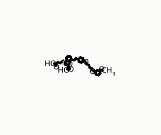 COc1cccc(OCCCCOc2ccc(C=Cc3cccc4c3OC(C(=O)O)CN4CCCC(=O)O)cc2)c1